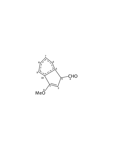 COC1=CC(C=O)c2ccccc21